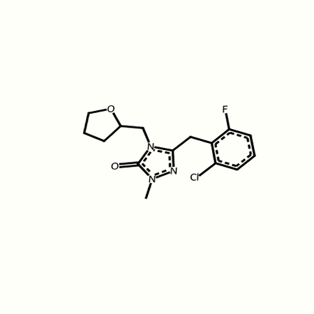 Cn1nc(Cc2c(F)cccc2Cl)n(CC2CCCO2)c1=O